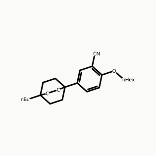 CCCCCCOc1ccc(C23CCC(CCCC)(CC2)CC3)cc1C#N